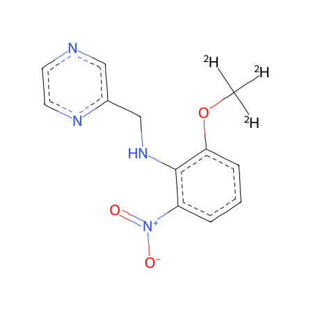 [2H]C([2H])([2H])Oc1cccc([N+](=O)[O-])c1NCc1cnccn1